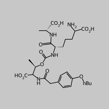 CCCCOc1ccc(CC(=O)NC(C(=O)O)[C@@H](C)OC(=O)N[C@@H](CCCC(N)C(=O)O)C(=O)N[C@H](C)C(=O)O)cc1